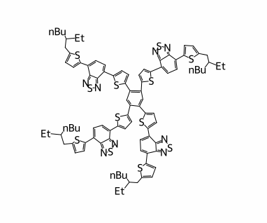 CCCCC(CC)Cc1ccc(-c2ccc(-c3ccc(-c4cc(-c5ccc(-c6ccc(-c7ccc(CC(CC)CCCC)s7)c7nsnc67)s5)c(-c5ccc(-c6ccc(-c7ccc(CC(CC)CCCC)s7)c7nsnc67)s5)cc4-c4ccc(-c5ccc(-c6ccc(CC(CC)CCCC)s6)c6nsnc56)s4)s3)c3nsnc23)s1